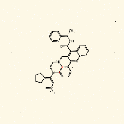 C[C@H](NC(=O)c1c(CN2CCN(C(=C[N+](=O)[O-])N3CCCC3)CC2)c(-c2ccccc2)nc2ccccc12)c1ccccc1